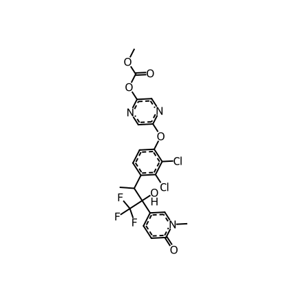 COC(=O)Oc1cnc(Oc2ccc(C(C)C(O)(c3ccc(=O)n(C)c3)C(F)(F)F)c(Cl)c2Cl)cn1